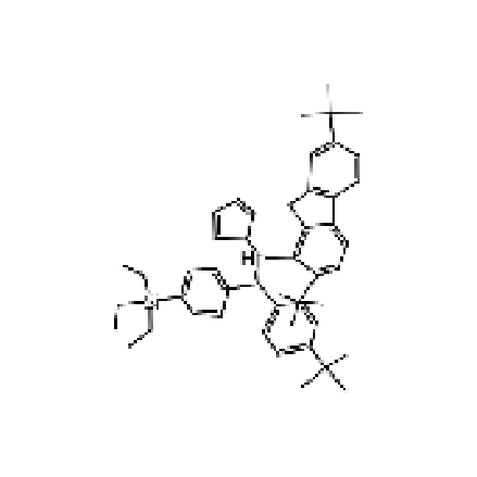 CC[Si](CC)(CC)c1ccc([C](c2ccc(C(C)(C)C)cc2)=[Hf]([c]2c(C(C)(C)C)ccc3c2Cc2cc(C(C)(C)C)ccc2-3)[CH]2C=CC=C2)cc1